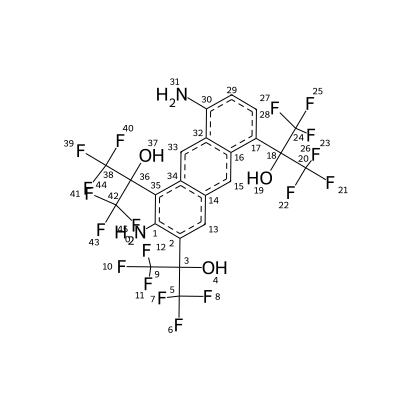 Nc1c(C(O)(C(F)(F)F)C(F)(F)F)cc2cc3c(C(O)(C(F)(F)F)C(F)(F)F)ccc(N)c3cc2c1C(O)(C(F)(F)F)C(F)(F)F